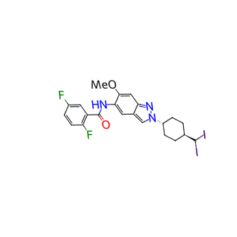 COc1cc2nn([C@H]3CC[C@H](C(I)I)CC3)cc2cc1NC(=O)c1cc(F)ccc1F